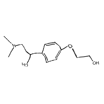 CN(C)CC(O)c1ccc(OCCO)cc1